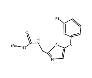 CCc1cccc(Sc2cnc(CNC(=O)OC(C)(C)C)s2)c1